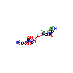 Cc1ncsc1-c1ccc([C@H](C)NC(=O)[C@@H]2C[C@@H](O)CN2C(=O)[C@@H](NC(=O)COCCCCOc2ccc(-c3ccc(N4C(=S)N(c5ccc(C#N)c(C(F)(F)F)c5F)C(=O)C4(C)C)cn3)c(C(F)(F)F)c2)C(C)(C)C)cc1